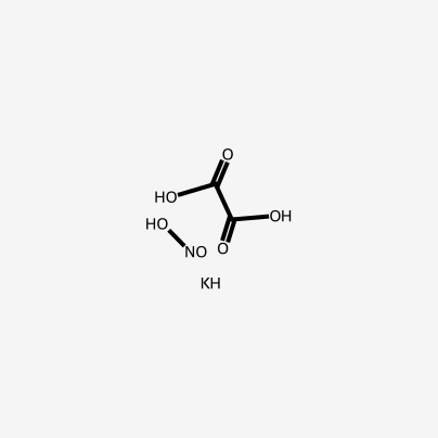 O=C(O)C(=O)O.O=NO.[KH]